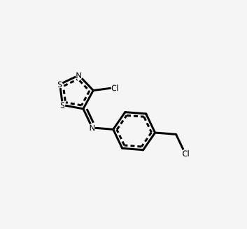 ClCc1ccc(N=c2ssnc2Cl)cc1